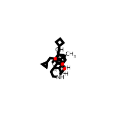 Cc1c2c(nn1C1CCC1)C[C@]13CCN[C@H](Cc4ccc(O)c(CC5CC5)c41)[C@]3(O)C2